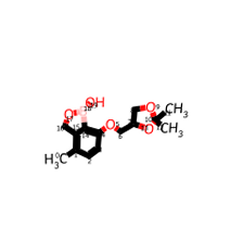 Cc1ccc(OCC2COC(C)(C)O2)c2c1COB2O